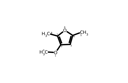 COc1cc(C)oc1C